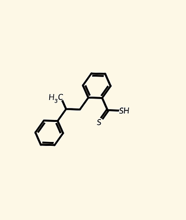 CC(Cc1ccccc1C(=S)S)c1ccccc1